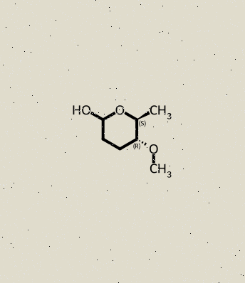 CO[C@@H]1CCC(O)O[C@H]1C